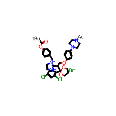 CC(=O)N1CCN(c2ccc(OCC(c3[nH]cc[n+]3Cc3ccc(OC(=O)C(C)(C)C)cc3)C3(c4ccc(Cl)cc4Cl)OCCCO3)cc2)CC1.[Br-]